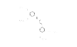 COCOc1ccc(/C=C/C(=O)/C=C/c2ccc(OCOC)c(OCOC)c2)cc1OCOC